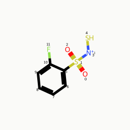 O=S(=O)([N+]S)c1ccccc1F